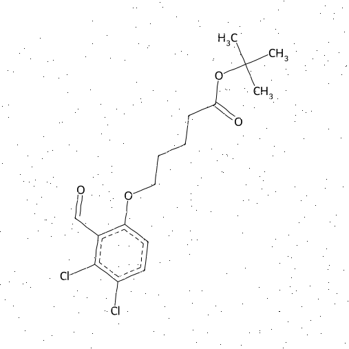 CC(C)(C)OC(=O)CCCCOc1ccc(Cl)c(Cl)c1C=O